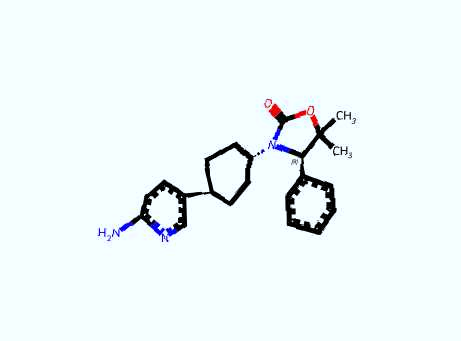 CC1(C)OC(=O)N([C@H]2CC[C@H](c3ccc(N)nc3)CC2)[C@@H]1c1ccccc1